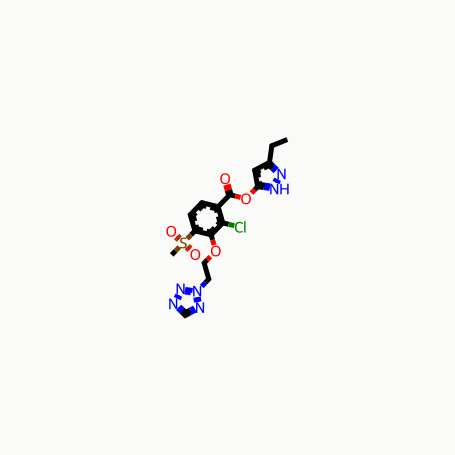 CCc1cc(OC(=O)c2ccc(S(C)(=O)=O)c(OCCn3ncnn3)c2Cl)[nH]n1